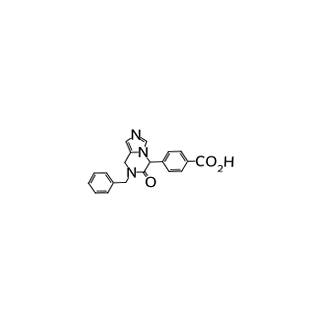 O=C(O)c1ccc(C2C(=O)N(Cc3ccccc3)Cc3cncn32)cc1